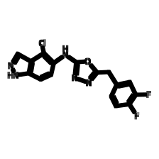 Fc1ccc(Cc2nnc(Nc3ccc4[nH]ncc4c3Cl)o2)cc1F